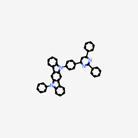 c1ccc(-c2cc(-c3ccc(-n4c5ccccc5c5cc6c(cc54)c4ccccc4n6-c4ccccc4)cc3)nc(-c3ccccc3)n2)cc1